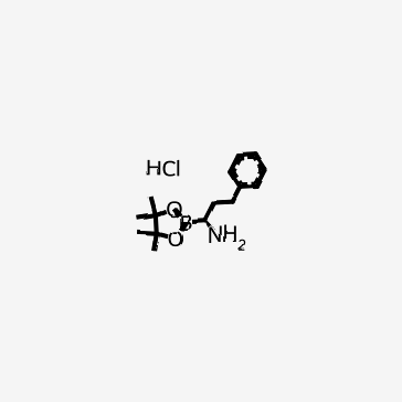 CC1(C)OB([C@H](N)CCc2ccccc2)OC1(C)C.Cl